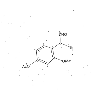 COc1cc(OC(C)=O)ccc1C(Br)C=O